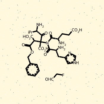 CC(C)C(N)C(=O)C(C(=O)O)(C(C(=O)O)C(=O)OCc1ccccc1)N(C(=O)C(N)CCC(=O)O)C(=O)C(N)Cc1c[nH]cn1.O=CCF